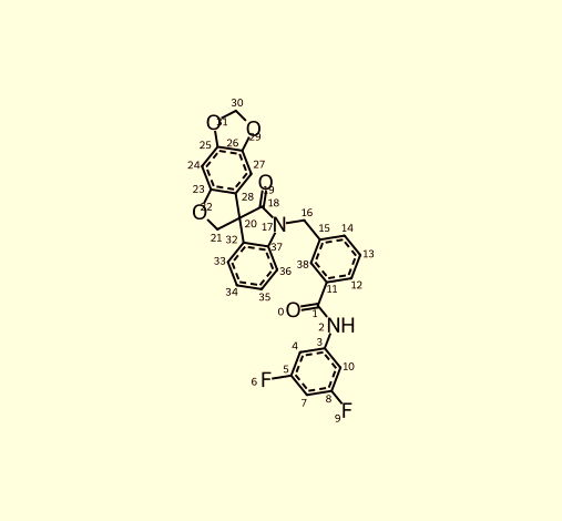 O=C(Nc1cc(F)cc(F)c1)c1cccc(CN2C(=O)C3(COc4cc5c(cc43)OCO5)c3ccccc32)c1